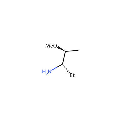 CC[C@H](N)[C@H](C)OC